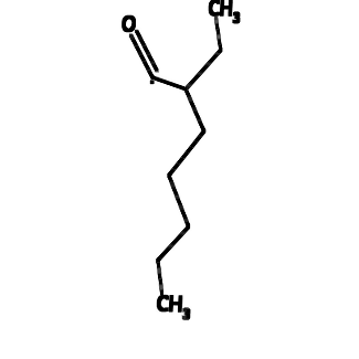 CCCCCC([C]=O)CC